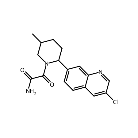 CC1CCC(c2ccc3cc(Cl)cnc3c2)N(C(=O)C(N)=O)C1